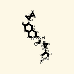 Cc1cc2cnc(NC(=O)[C@@H]3C[C@H]3c3cnn(C)c3)cc2cc1[C@@H]1CC12CC2